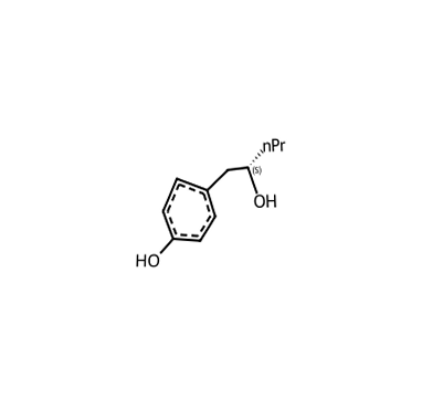 CCC[C@H](O)Cc1ccc(O)cc1